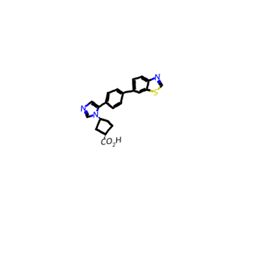 O=C(O)[C@H]1CC[C@@H](n2cncc2-c2ccc(-c3ccc4ncsc4c3)cc2)C1